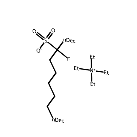 CCCCCCCCCCCCCCCC(F)(CCCCCCCCCC)S(=O)(=O)[O-].CC[N+](CC)(CC)CC